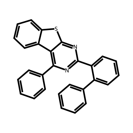 c1ccc(-c2ccccc2-c2nc(-c3ccccc3)c3c(n2)sc2ccccc23)cc1